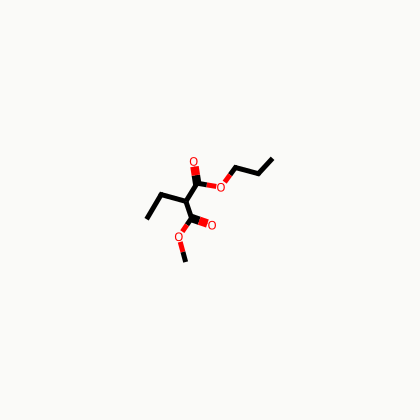 CCCOC(=O)C(CC)C(=O)OC